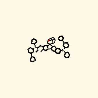 C=C/C(=C\c1cc2c(cc1C)-c1cc3ccc(N(c4ccccc4)c4cccc(-c5ccccc5)c4)cc3cc1C21C2CC3CC(C2)CC1C3)N(c1ccccc1)c1cccc(-c2ccccc2)c1